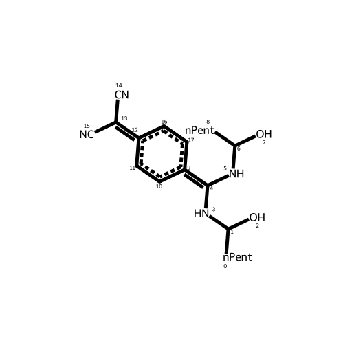 CCCCCC(O)NC(NC(O)CCCCC)=c1ccc(=C(C#N)C#N)cc1